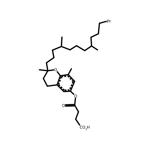 Cc1cc(OC(=O)CCC(=O)O)cc2c1OC(C)(CCCC(C)CCCC(C)CCCC(C)C)CC2